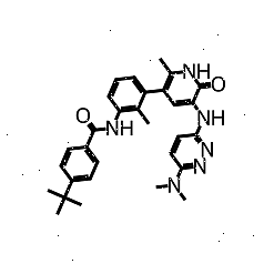 Cc1[nH]c(=O)c(Nc2ccc(N(C)C)nn2)cc1-c1cccc(NC(=O)c2ccc(C(C)(C)C)cc2)c1C